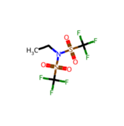 CCN(S(=O)(=O)C(F)(F)F)S(=O)(=O)C(F)(F)F